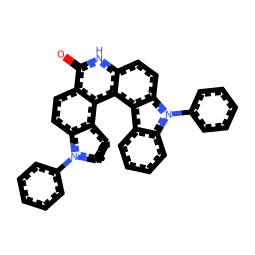 O=c1[nH]c2ccc3c(c4ccccc4n3-c3ccccc3)c2c2c1ccc1c2c2ccccc2n1-c1ccccc1